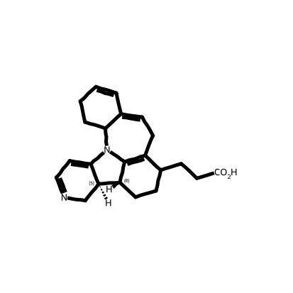 O=C(O)CCC1CC[C@H]2C3=C1CC=C1C=CCCC1N3C1=CC=NC[C@@H]12